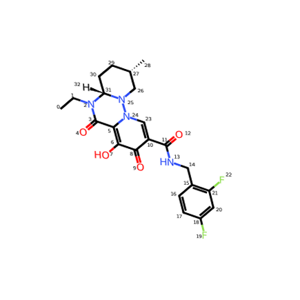 CCN1C(=O)c2c(O)c(=O)c(C(=O)NCc3ccc(F)cc3F)cn2N2C[C@@H](C)CC[C@@H]12